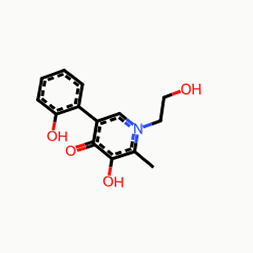 Cc1c(O)c(=O)c(-c2ccccc2O)cn1CCO